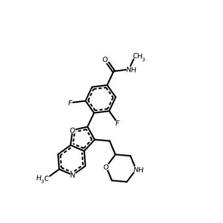 CNC(=O)c1cc(F)c(-c2oc3cc(C)ncc3c2CC2CNCCO2)c(F)c1